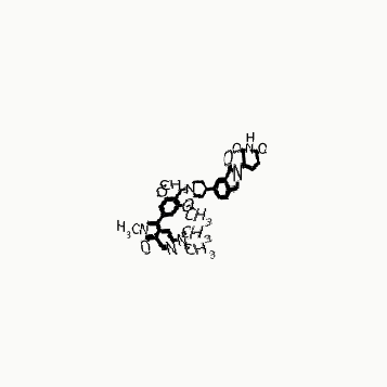 COc1cc(-c2cn(C)c(=O)c3cnc(N(C)C)cc23)cc(OC)c1CN1CCC(c2ccc3c(c2)C(=O)N(C2CCC(=O)NC2=O)C3)CC1